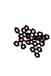 c1ccc(-c2cccc(-c3ccc4c(c3)C3(c5cc(-c6cccc(-c7ccccc7)c6-c6ccccc6)ccc5-c5c(-c6cccc(-c7ccccc7)c6-c6ccccc6)cc(-c6cccc(-c7ccccc7)c6-c6ccccc6)cc53)c3cc(-c5cccc(-c6ccccc6)c5-c5ccccc5)cc(-c5cccc(-c6ccccc6)c5-c5ccccc5)c3-4)c2-c2ccccc2)cc1